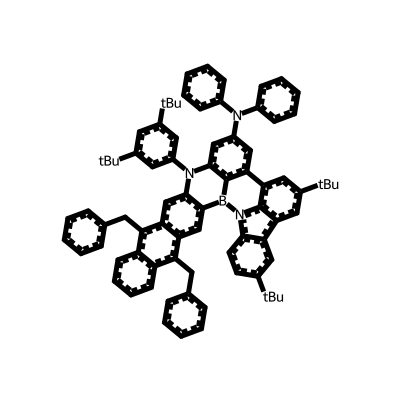 CC(C)(C)c1cc(N2c3cc4c(Cc5ccccc5)c5ccccc5c(Cc5ccccc5)c4cc3B3c4c(cc(N(c5ccccc5)c5ccccc5)cc42)-c2cc(C(C)(C)C)cc4c5cc(C(C)(C)C)ccc5n3c24)cc(C(C)(C)C)c1